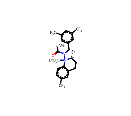 CCOC(=O)[N+]1(N(Cc2cc(C(F)(F)F)cc(C(F)(F)F)c2)C(=O)OC)c2ccc(C(F)(F)F)cc2CC[C@H]1CC